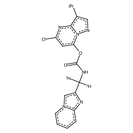 [2H]C([2H])(NC(=O)Oc1cc(Cl)nc2c(C(C)C)cnn12)c1cn2ccccc2n1